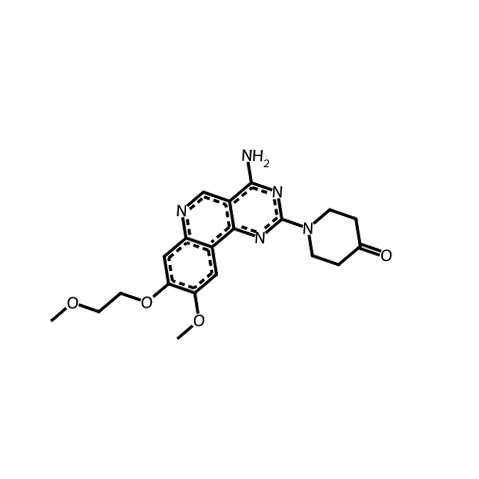 COCCOc1cc2ncc3c(N)nc(N4CCC(=O)CC4)nc3c2cc1OC